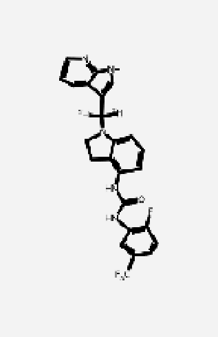 [2H]C([2H])(c1c[nH]c2ncccc12)N1CCc2c(NC(=O)Nc3cc(C(F)(F)F)ccc3F)cccc21